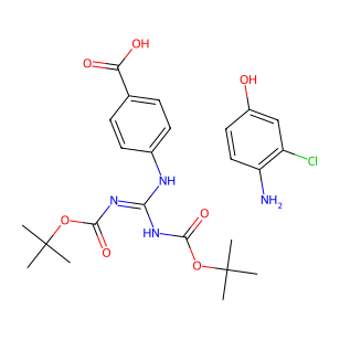 CC(C)(C)OC(=O)N=C(NC(=O)OC(C)(C)C)Nc1ccc(C(=O)O)cc1.Nc1ccc(O)cc1Cl